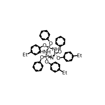 CCc1ccc(OP2(Oc3ccccc3)=N[PH](Oc3ccccc3)(Oc3ccc(CC)cc3)N[PH](Oc3ccccc3)(Oc3ccc(CC)cc3)N2)cc1